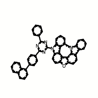 c1ccc(-c2nc(-c3ccc(-c4cccc5ccccc45)cc3)nc(-n3c4ccc5oc6ccc7c8ccccc8n8c9cccc3c9c4c5c6c78)n2)cc1